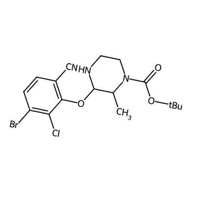 CC1C(Oc2c(C#N)ccc(Br)c2Cl)NCCN1C(=O)OC(C)(C)C